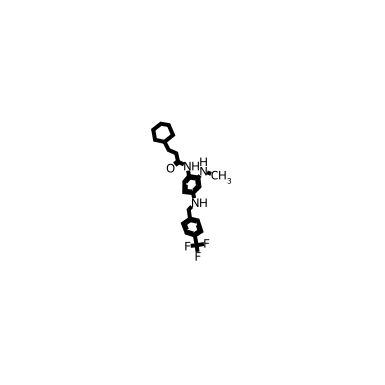 CNc1cc(NCc2ccc(C(F)(F)F)cc2)ccc1NC(=O)CCC1CCCCC1